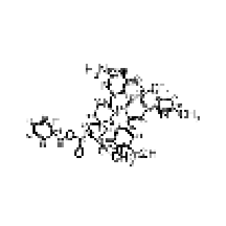 CCOC(=O)[C@@H]1CC2(CCN(c3cc(O[C@H](c4ccc(-c5ccc(C)c(CO)c5)cc4-n4ccc(C)n4)C(F)(F)F)nc(N)n3)CC2)CN1C(=O)OCc1ccccc1